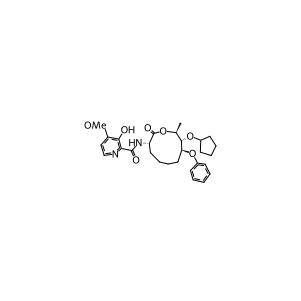 COc1ccnc(C(=O)N[C@H]2CCCC[C@H](Oc3ccccc3)[C@@H](OC3CCCC3)[C@H](C)OC2=O)c1O